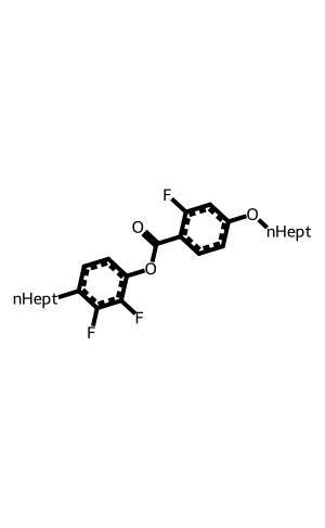 CCCCCCCOc1ccc(C(=O)Oc2ccc(CCCCCCC)c(F)c2F)c(F)c1